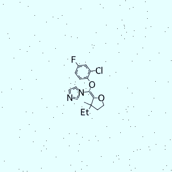 CCC1(C)CCOC1=C(Oc1ccc(F)cc1Cl)n1ccnc1